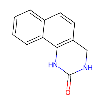 O=C1NCc2ccc3ccccc3c2N1